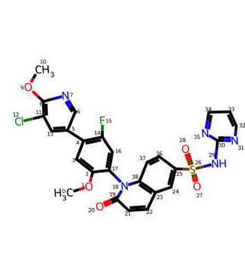 COc1cc(-c2cnc(OC)c(Cl)c2)c(F)cc1-n1c(=O)ccc2cc(S(=O)(=O)Nc3ncccn3)ccc21